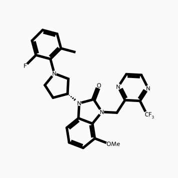 COc1cccc2c1n(Cc1nccnc1C(F)(F)F)c(=O)n2[C@@H]1CCN(c2c(C)cccc2F)C1